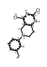 Fc1cccc(N2CCc3nc(Cl)nc(Cl)c3C2)c1